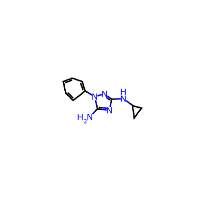 Nc1nc(NC2CC2)nn1-c1ccccc1